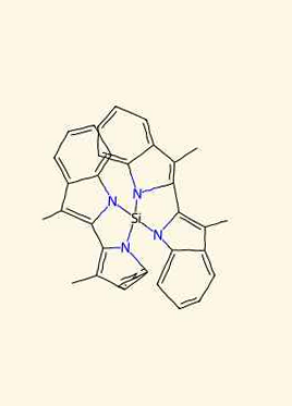 Cc1c2n(c3ccccc13)[Si]1(n3c-2c(C)c2ccccc23)n2c(c(C)c3ccccc32)-c2c(C)c3ccccc3n21